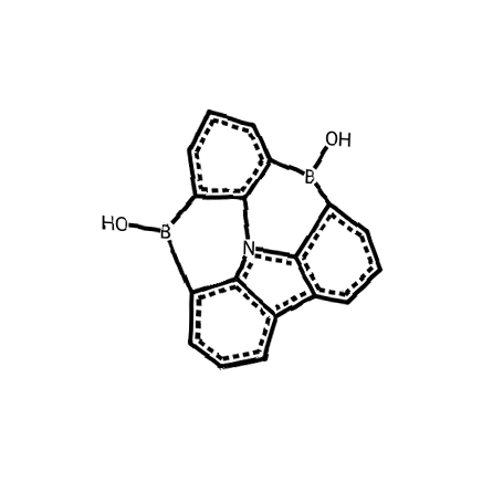 OB1c2cccc3c2-n2c4c1cccc4c1cccc(c12)B3O